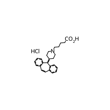 Cl.O=C(O)CCCCN1CCC(=C2c3ccccc3C=Cc3ccccc32)CC1